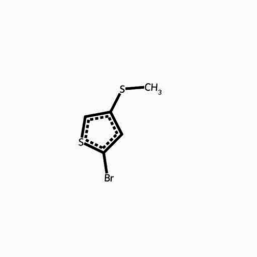 CSc1csc(Br)c1